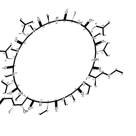 C/C=C/C[C@@H](C)[C@@H](O)[C@H]1C(=O)N[C@@H](CC)C(=O)N(C)[C@H](C)C(=O)N(CC)[C@@H]([C@H](C)COCC)C(=O)N[C@@H](C(C)C)C(=O)N(C)[C@@H](CC(C)C)C(=O)N[C@@H](C)C(=O)N[C@H](C)C(=O)N(C)[C@@H](CC(C)C)C(=O)N(C)[C@@H](CC(C)C)C(=O)N(C)[C@@H](C(C)C)C(=O)N1C